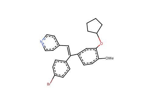 COc1ccc(C(=Cc2ccncc2)c2ccc(Br)cc2)cc1OC1CCCC1